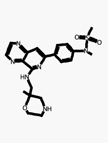 CN(c1ccc(-c2cc3nccnc3c(NCC3(C)CNCCO3)n2)cc1)S(C)(=O)=O